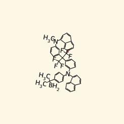 BC(C)(C)c1ccc(N(c2cccc(C(c3cccc(N(C)c4cccc5ccccc45)c3)(C(F)(F)F)C(F)(F)F)c2)c2cccc3ccccc23)cc1